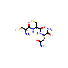 NC(=O)C[C@H](NC(=O)[C@H](CS)NC(=O)[C@@H](N)CS)C(N)=O